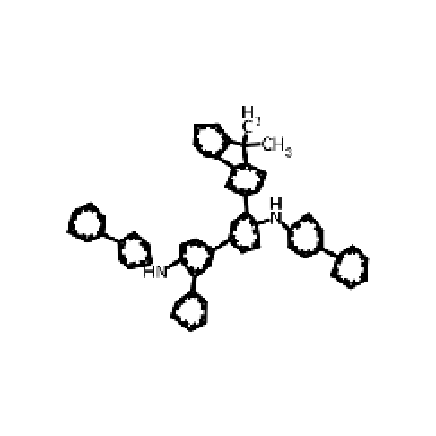 CC1(C)c2ccccc2-c2cc(-c3cc(-c4ccc(Nc5ccc(-c6ccccc6)cc5)c(-c5ccccc5)c4)ccc3Nc3ccc(-c4ccccc4)cc3)ccc21